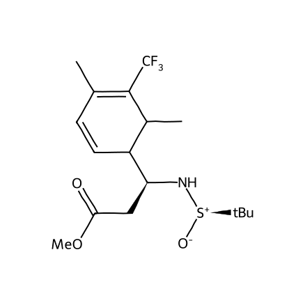 COC(=O)C[C@H](N[S@+]([O-])C(C)(C)C)C1C=CC(C)=C(C(F)(F)F)C1C